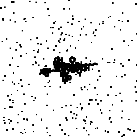 CCCCCC[C@@H](O)[C@@H](C)C(=O)N(C)[C@@H](CC(C)C)C(=O)N[C@H](C(=O)N[C@@H](CNC(=O)OC(C)(C)C)C(=O)N[C@@H](COCCCNC(=O)OC(C)(C)C)C(=O)NCC(=O)O)C1CCCCC1